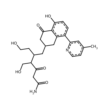 Cc1ccnc(-c2ccc(O)c3c2CC(CC(CCO)C(CO)C(=O)CC(N)=O)CC3=O)c1